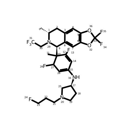 C[C@@H]1Cc2cc3c(cc2[C@@H](C2(C)C(F)=CC(N[C@H]4CCN(CCCF)C4)=CC2F)N1CC(F)(F)F)OC(F)(F)O3